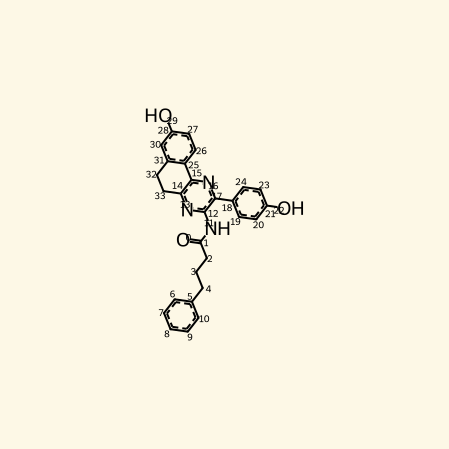 O=C(CCCc1ccccc1)Nc1nc2c(nc1-c1ccc(O)cc1)-c1ccc(O)cc1CC2